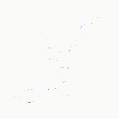 CC(C)(C)OC(=O)N[C@H]1CC[C@@H](Oc2cc(S(C)(=O)=O)ccc2C(=O)Nc2cccnc2C(=O)Nc2ccc(Cl)cn2)CC1